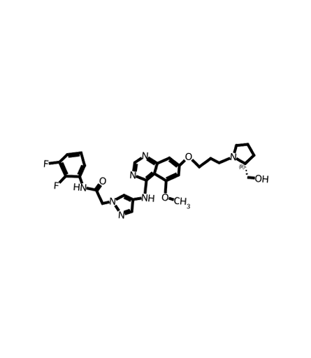 COc1cc(OCCCN2CCC[C@@H]2CO)cc2ncnc(Nc3cnn(CC(=O)Nc4cccc(F)c4F)c3)c12